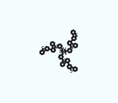 c1cc(-c2nc(-c3cccc(-n4c5ccccc5c5c(-c6ccc7sc8ccccc8c7c6)cccc54)c3)nc(-c3cccc(-n4c5ccccc5c5c(-c6ccc7sc8ccccc8c7c6)cccc54)c3)n2)cc(-n2c3ccccc3c3c(-c4ccc5sc6ccccc6c5c4)cccc32)c1